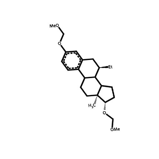 CC[C@@H]1Cc2cc(OCOC)ccc2C2CC[C@@]3(C)C(CC[C@@H]3OCOC)C21